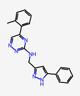 Cc1ccccc1-c1cnnc(NCc2cc(-c3ccccc3)[nH]n2)n1